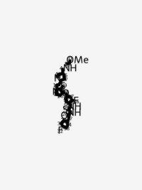 COCCNCc1ccc(-c2cc3nccc(Oc4ccc(NC(=S)NC(=O)Cc5ccc(F)cc5)c(F)c4)c3s2)nc1